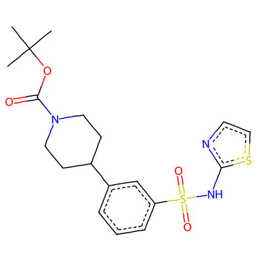 CC(C)(C)OC(=O)N1CCC(c2cccc(S(=O)(=O)Nc3nccs3)c2)CC1